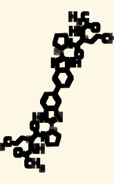 CCC[C@H](NC(C)=O)C(=O)N1CCC[C@H]1c1nc2cc(-c3ccc4[nH]c([C@@H]5CCCN5C(=O)[C@H](CCC)NC(C)=O)nc4c3)ccc2[nH]1